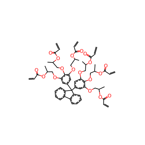 C=CC(=O)OC(C)COc1cc(C2(c3cc(OCC(C)OC(=O)C=C)c(OCC(C)OC(=O)C=C)c(OCC(C)OC(=O)C=C)c3)c3ccccc3-c3ccccc32)cc(OCC(C)OC(=O)C=C)c1OCC(C)OC(=O)C=C